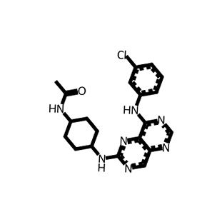 CC(=O)NC1CCC(Nc2ncc3ncnc(Nc4cccc(Cl)c4)c3n2)CC1